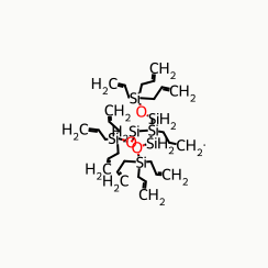 [CH2]CC[Si]([SiH2]O[Si](CC=C)(CC=C)CC=C)([SiH2]O[Si](CC=C)(CC=C)CC=C)[SiH2]O[Si](CC=C)(CC=C)CC=C